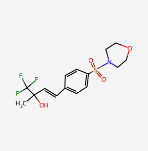 CC(O)(C=Cc1ccc(S(=O)(=O)N2CCOCC2)cc1)C(F)(F)F